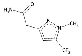 Cn1nc(CC(N)=O)cc1C(F)(F)F